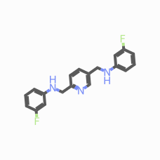 Fc1cccc(NCc2ccc(CNc3cccc(F)c3)nc2)c1